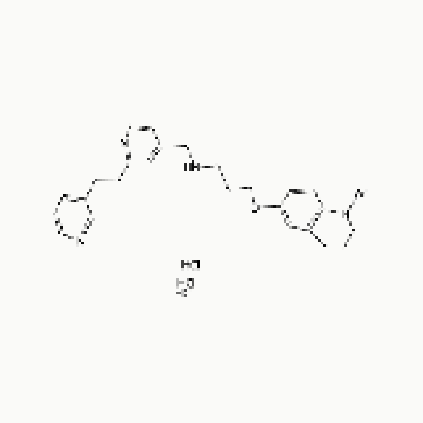 CC(=O)N1CCCc2cc(OCCCNCc3ccnc(CCc4cccnc4)c3)ccc21.Cl.Cl.Cl